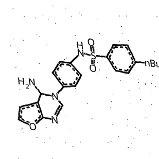 CCCCc1ccc(S(=O)(=O)Nc2ccc(N3C=Nc4occc4C3N)cc2)cc1